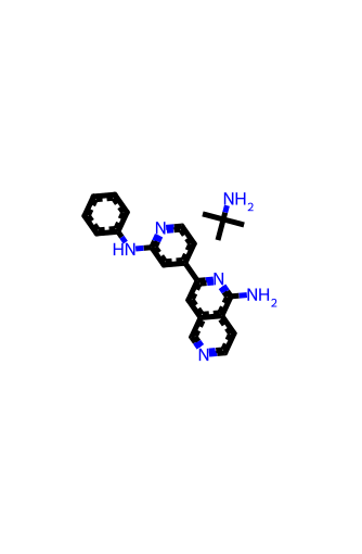 CC(C)(C)N.Nc1nc(-c2ccnc(Nc3ccccc3)c2)cc2cnccc12